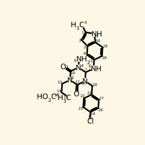 Cc1cc2cc(NC3N(N)C(=O)N(C[C@H](C)C(=O)O)C(=O)N3Cc3ccc(Cl)cc3)ccc2[nH]1